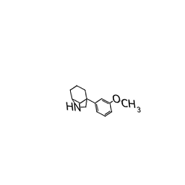 COc1cccc(C23CCCC(C2)NC3)c1